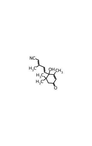 CC1=CC(=O)CC(C)(C)C1(O)/C=C/C(C)=C/C#N